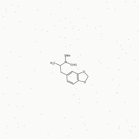 CSN(C=O)C(C)Cc1ccc2c(c1)OCO2